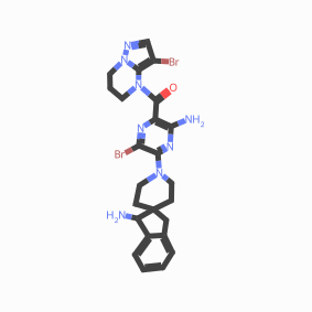 Nc1nc(N2CCC3(CC2)Cc2ccccc2C3N)c(Br)nc1C(=O)N1CCCn2ncc(Br)c21